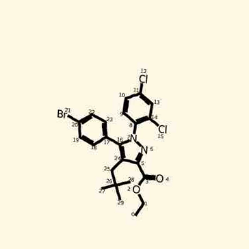 CCOC(=O)c1nn(-c2ccc(Cl)cc2Cl)c(-c2ccc(Br)cc2)c1CC(C)(C)C